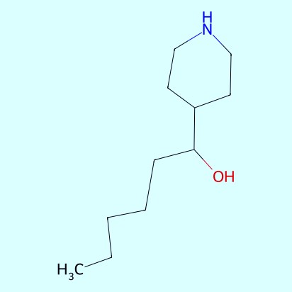 CCCCCC(O)C1CCNCC1